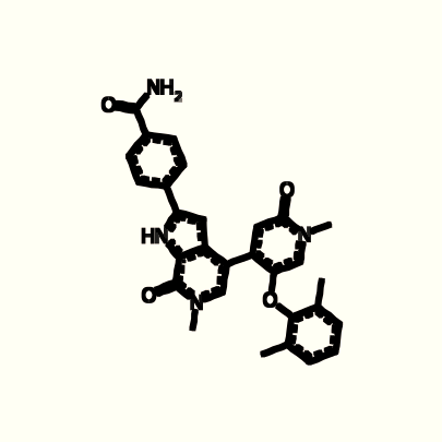 Cc1cccc(C)c1Oc1cn(C)c(=O)cc1-c1cn(C)c(=O)c2[nH]c(-c3ccc(C(N)=O)cc3)cc12